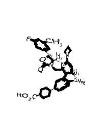 COc1ccc([C@H]2CC[C@H](C(=O)O)CC2)cc1-c1c(C)cc(N2CCC2)nc1CN1C(=O)O[C@H](c2cc(C)cc(F)c2)[C@@H]1C